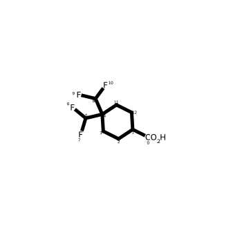 O=C(O)C1CCC(C(F)F)(C(F)F)CC1